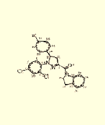 O=C(C1=NN(c2ccc(Cl)cc2Cl)C(c2ccc(I)cc2)C1)N1CCc2ccccc21